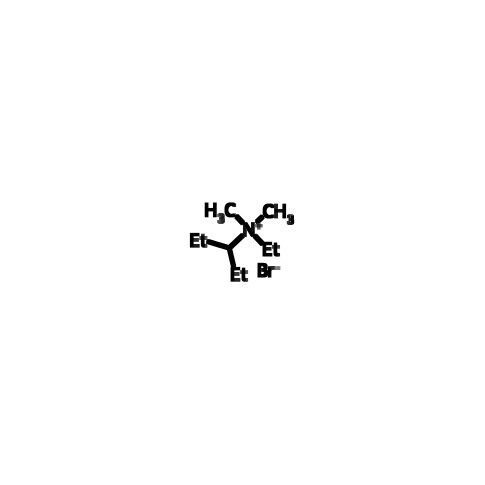 CCC(CC)[N+](C)(C)CC.[Br-]